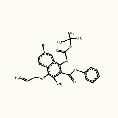 C=CCOc1c(C)c(C(=O)Oc2ccccc2)c(OC(=O)OC(C)(C)C)c2cc(Br)ccc12